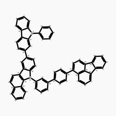 c1ccc(-n2c3ccccc3c3ccc(-c4ccc5c(c4)c4ccc6ccccc6c4n5-c4cccc(-c5ccc(-c6ccc7c8c(cccc68)-c6ccccc6-7)cc5)c4)cc32)cc1